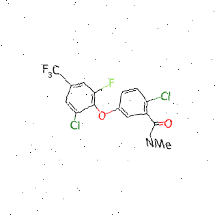 CNC(=O)c1cc(Oc2c(F)cc(C(F)(F)F)cc2Cl)ccc1Cl